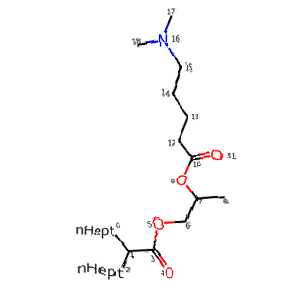 CCCCCCCC(CCCCCCC)C(=O)OCC(C)OC(=O)CCCCN(C)C